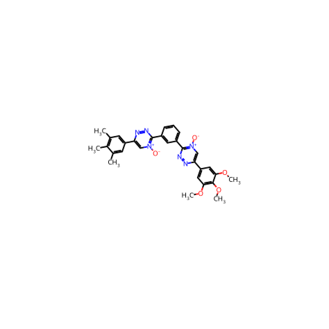 COc1cc(-c2c[n+]([O-])c(-c3cccc(-c4nnc(-c5cc(C)c(C)c(C)c5)c[n+]4[O-])c3)nn2)cc(OC)c1OC